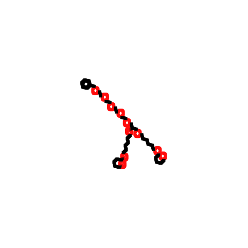 c1ccc(COCCOCCOCCOCCOCC(COCCCCCCOC2CCCCO2)OCCCCCCOC2CCCCO2)cc1